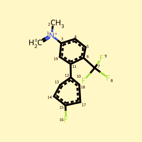 C=[N+](C)c1ccc(C(F)(F)F)c(-c2ccc(F)cc2)c1